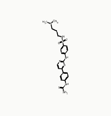 CN(C)CCCNS(=O)(=O)c1ccc(Nc2nccc(-c3ccc(NC(N)=S)cc3)n2)cc1